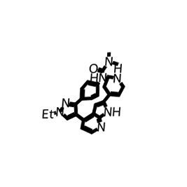 CCn1cc(-c2ccnc3[nH]c(C4=CCNCC4)cc23)c(-c2ccc(NC(=O)N(C)C)cc2)n1